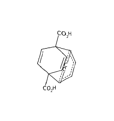 O=C(O)C12C=CC(C(=O)O)(C=C1)c1ccc2cc1